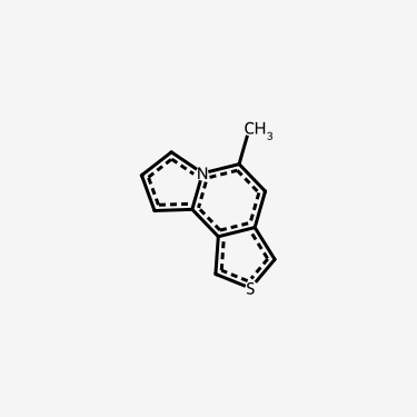 Cc1cc2cscc2c2cccn12